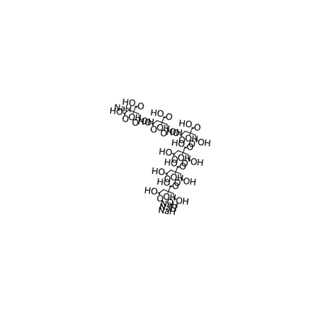 O=C(O)CC(O)(CC(=O)O)C(=O)O.O=C(O)CC(O)(CC(=O)O)C(=O)O.O=C(O)CC(O)(CC(=O)O)C(=O)O.O=C(O)CC(O)(CC(=O)O)C(=O)O.O=C(O)CC(O)(CC(=O)O)C(=O)O.O=C(O)CC(O)(CC(=O)O)C(=O)O.[NaH].[NaH].[NaH].[NaH]